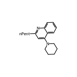 CCCCCc1cc(N2CCCCC2)c2ccccc2n1